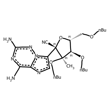 CCCCOC[C@H]1O[C@@](C#N)(c2cnc3c(N)nc(N)nn23)[C@](C)(OCCCC)[C@@H]1OCCCC